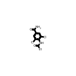 CCC(=O)Nc1c(Cl)cc(C(N)=O)cc1Cl